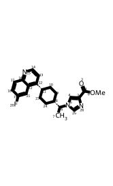 COC(=O)c1cn(C(C)[C@H]2CC[C@@H](c3ccnc4ccc(F)cc43)CC2)cn1